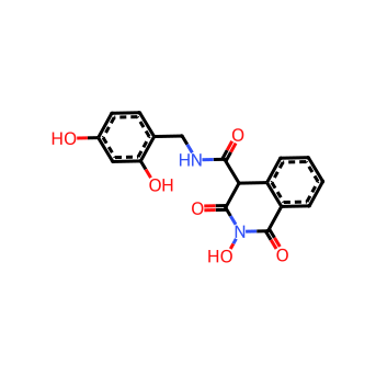 O=C(NCc1ccc(O)cc1O)C1C(=O)N(O)C(=O)c2ccccc21